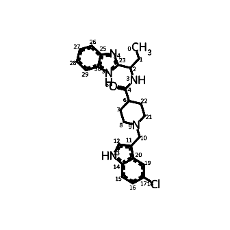 CCC(NC(=O)C1CCN(Cc2c[nH]c3ccc(Cl)cc23)CC1)c1nc2ccccc2[nH]1